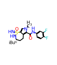 CC[C@H](C)C1CCc2c(cn(C)c2C(=O)Nc2ccc(F)c(F)c2)S(=N)(=O)N1